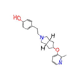 Cc1ncccc1O[C@H]1C[C@@H]2CN(CCc3ccc(O)cc3)C[C@@H]2C1